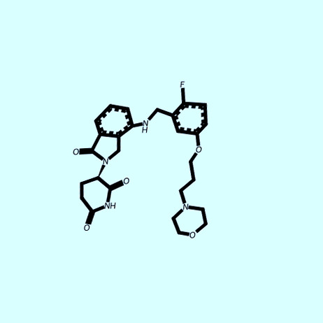 O=C1CC[C@@H](N2Cc3c(NCc4cc(OCCCN5CCOCC5)ccc4F)cccc3C2=O)C(=O)N1